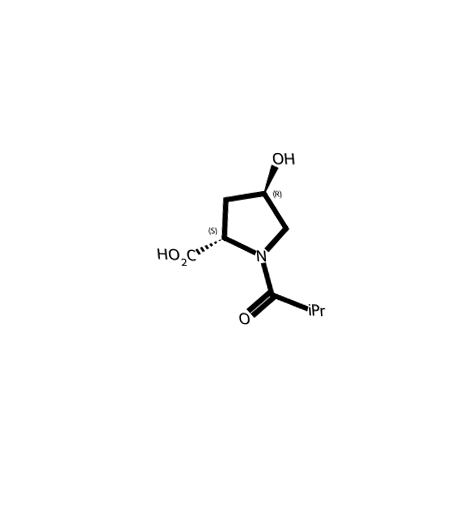 CC(C)C(=O)N1C[C@H](O)C[C@H]1C(=O)O